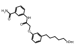 CCCCCCCCCCCCCCCc1cccc(OCC(=O)Nc2cccc(C(N)=O)c2)c1